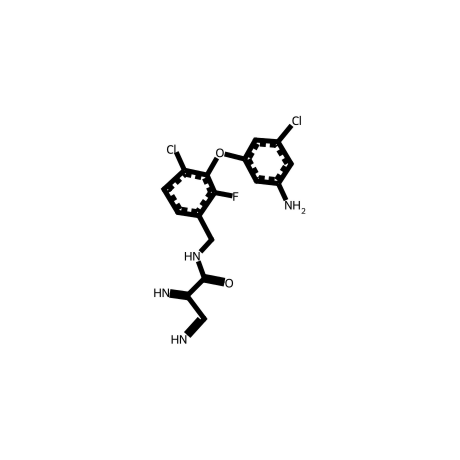 N=CC(=N)C(=O)NCc1ccc(Cl)c(Oc2cc(N)cc(Cl)c2)c1F